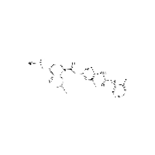 Cc1ccccc1NC(=O)Nc1ccc(CC(=O)N2CCN(CC(=O)O)C(=O)C2CC(C)C)cc1C